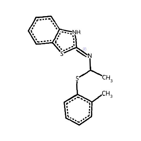 Cc1ccccc1SC(C)/N=c1/[nH]c2ccccc2s1